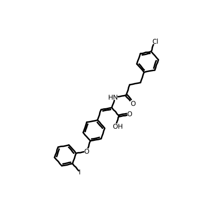 O=C(CCc1ccc(Cl)cc1)NC(=Cc1ccc(Oc2ccccc2I)cc1)C(=O)O